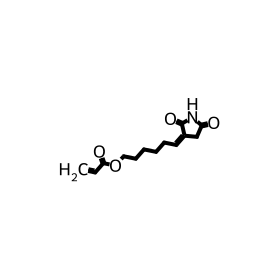 C=CC(=O)OCCCCCC=C1CC(=O)NC1=O